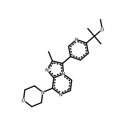 COC(C)(C)c1ccc(-c2c(C)nc3c(N4CCOCC4)nccn23)cn1